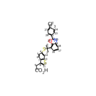 CC(C)(Sc1ccc2c(CC(=O)O)csc2c1)c1cccc2nc(-c3ccc(C(F)(F)F)cc3)oc12